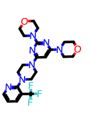 FC(F)(F)c1cccnc1N1CCN(c2cc(N3CCOCC3)nc(N3CCOCC3)n2)CC1